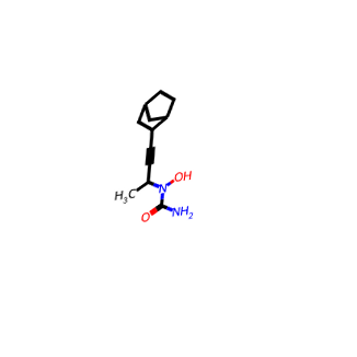 CC(C#CC1CC2CCC1C2)N(O)C(N)=O